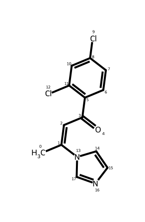 CC(=CC(=O)c1ccc(Cl)cc1Cl)n1ccnc1